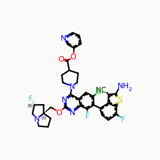 N#Cc1c(N)sc2c(F)ccc(-c3c(Cl)cc4c(N5CCC(C(=O)Oc6cccnc6)CC5)nc(OC[C@@]56CCCN5C[C@H](F)C6)nc4c3F)c12